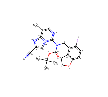 Cc1cnc(N(Cc2c(I)ccc3c2CCO3)C(=O)OC(C)(C)C)n2cc(C#N)nc12